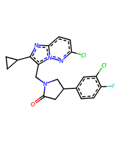 O=C1CC(c2ccc(F)c(Cl)c2)CN1Cc1c(C2CC2)nc2ccc(Cl)nn12